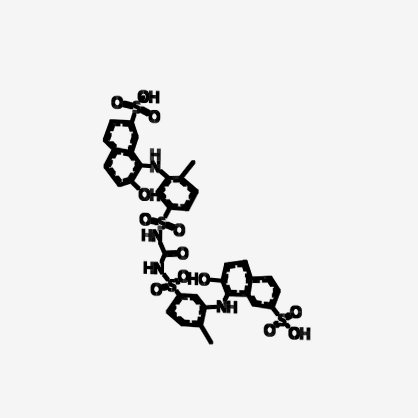 Cc1ccc(S(=O)(=O)NC(=O)NS(=O)(=O)c2ccc(C)c(Nc3c(O)ccc4ccc(S(=O)(=O)O)cc34)c2)cc1Nc1c(O)ccc2ccc(S(=O)(=O)O)cc12